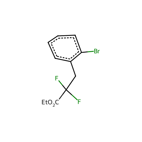 CCOC(=O)C(F)(F)Cc1ccccc1Br